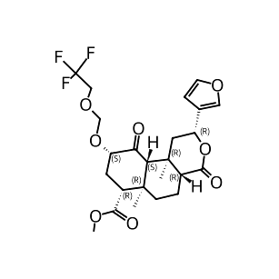 COC(=O)[C@@H]1C[C@H](OCOCC(F)(F)F)C(=O)[C@H]2[C@@]1(C)CC[C@H]1C(=O)O[C@@H](c3ccoc3)C[C@]21C